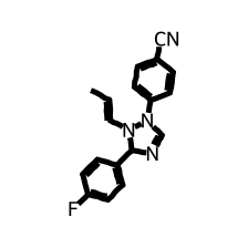 CC=CN1C(c2ccc(F)cc2)N=CN1c1ccc(C#N)cc1